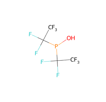 OP(C(F)(F)C(F)(F)F)C(F)(F)C(F)(F)F